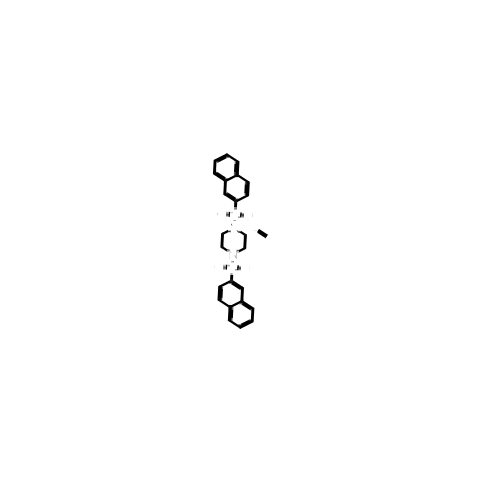 C=C[C@@H]1CN(S(=O)(=O)c2ccc3ccccc3c2)CCN1S(=O)(=O)c1ccc2ccccc2c1